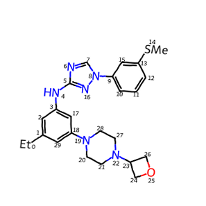 CCc1cc(Nc2ncn(-c3cccc(SC)c3)n2)cc(N2CCN(C3COC3)CC2)c1